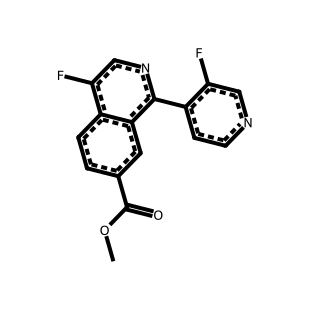 COC(=O)c1ccc2c(F)cnc(-c3ccncc3F)c2c1